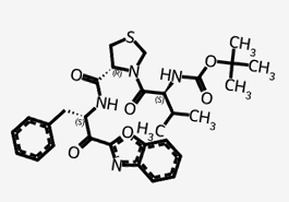 CC(C)[C@H](NC(=O)OC(C)(C)C)C(=O)N1CSC[C@H]1C(=O)N[C@@H](Cc1ccccc1)C(=O)c1nc2ccccc2o1